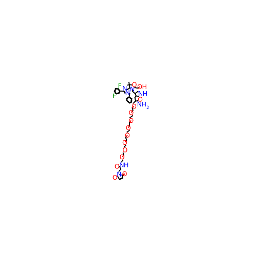 CC(C)(C)[C@H](c1nc(-c2cc(F)ccc2F)cn1Cc1ccccc1)N(CC1CNCC1CC(COCCOCCOCCOCCOCCOCCOCCOCCNC(=O)CCN1C(=O)C=CC1=O)C(N)=O)C(=O)CO